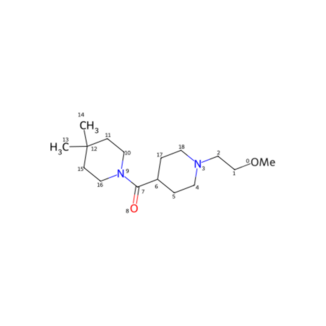 COCCN1CCC(C(=O)N2CCC(C)(C)CC2)CC1